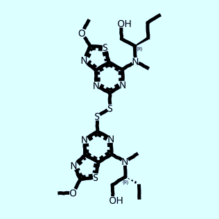 CCC[C@H](CO)N(C)c1nc(SSc2nc(N(C)[C@H](CC)CO)c3sc(OC)nc3n2)nc2nc(OC)sc12